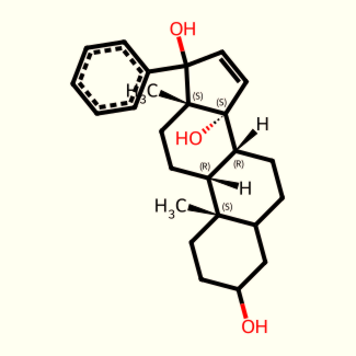 C[C@]12CCC(O)CC1CC[C@@H]1[C@H]2CC[C@]2(C)C(O)(c3ccccc3)C=C[C@@]12O